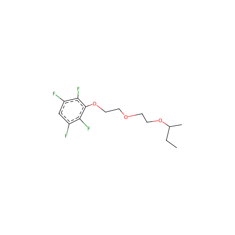 CCC(C)OCCOCCOc1c(F)c(F)cc(F)c1F